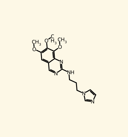 COc1cc2cnc(NCCCn3ccnc3)nc2c(OC)c1OC